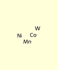 [Co].[Mn].[Ni].[W]